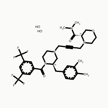 Cc1ccc(C[C@@H]2CN(CC#CCN3CCOC[C@H]3C(=O)N(C)C)CCN2C(=O)c2cc(C(F)(F)F)cc(C(F)(F)F)c2)cc1C.Cl.Cl